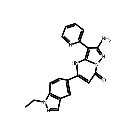 CCn1ncc2cc(-c3cc(=O)n4nc(N)c(-c5ccccn5)c4[nH]3)ccc21